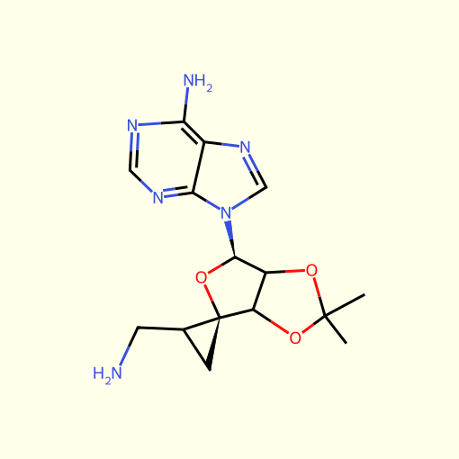 CC1(C)OC2C(O1)[C@@]1(CC1CN)O[C@H]2n1cnc2c(N)ncnc21